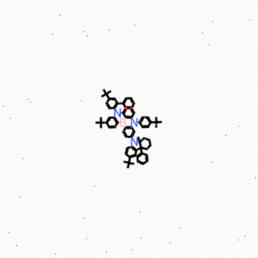 Cc1cc2c3c(c1)N(c1ccc(C(C)(C)C)cc1-c1ccccc1)c1cc(C(C)(C)C)ccc1B3c1ccc(N3c4ccc(C(C)(C)C)cc4C4(c5ccccc5)CCCCC34C)cc1N2c1ccc(C(C)(C)C)cc1